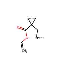 C=COC(=O)C1(CCCCCC)CC1